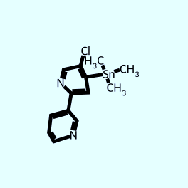 [CH3][Sn]([CH3])([CH3])[c]1cc(-c2cccnc2)ncc1Cl